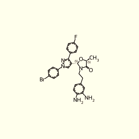 C[C@@H]1O[C@@H](c2cn(-c3ccc(Br)cc3)nc2-c2ccc(F)cc2)N(CCc2ccc(N)c(N)c2)C1=O